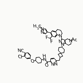 CC(=O)N1CCc2c(c(N3CCCc4cc(-c5cnn(C)c5)c(C(F)F)cc43)nn2C2CCC3(CC2)CC(Cc2ccc(C(=O)NC4CCC(Oc5ccc(C#N)c(Cl)c5)CC4)nn2)C3)C1